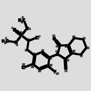 COP(=O)(OC)C(Cl)Cc1cc(N2C(=O)C3=C(CCCC3)C2=O)c(F)cc1Cl